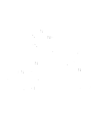 O=C(Nc1ccccc1Cl)Nc1ccc(C(=O)N2CCCCC2)cc1-c1nnn[nH]1